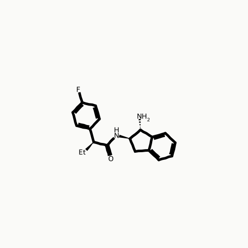 CC[C@H](C(=O)N[C@@H]1Cc2ccccc2[C@H]1N)c1ccc(F)cc1